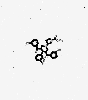 COC(=O)N1CCC(N2CC(C(=O)c3cccc(O)c3)C(c3cccc(F)c3C)C(C(=O)c3cccc(O)c3)C2)C1